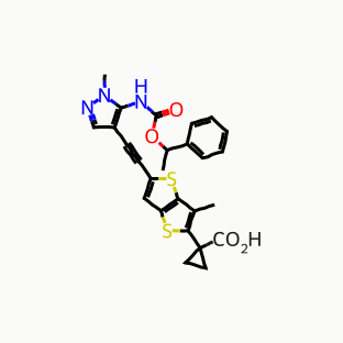 Cc1c(C2(C(=O)O)CC2)sc2cc(C#Cc3cnn(C)c3NC(=O)OC(C)c3ccccc3)sc12